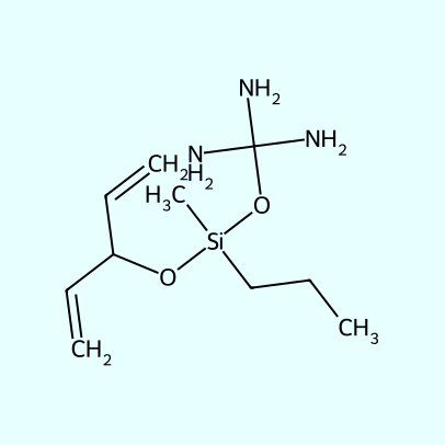 C=CC(C=C)O[Si](C)(CCC)OC(N)(N)N